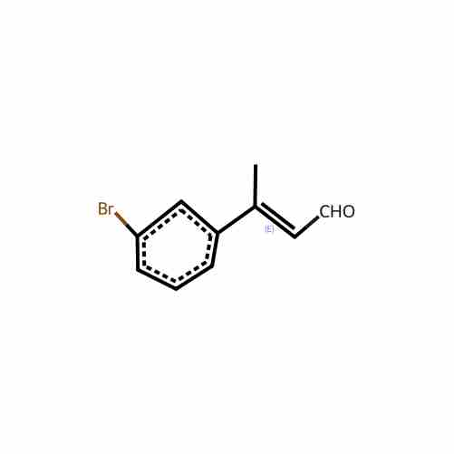 C/C(=C\C=O)c1cccc(Br)c1